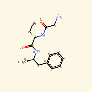 CC(C)C[C@H](NC(=O)CN)C(=O)N[C@@H](Cc1ccccc1)C(=O)O